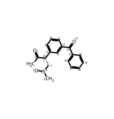 CC(=O)[C@@H](C[S+](C)[O-])c1cccc(C(=O)c2ccccc2)c1